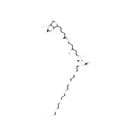 CCOCCOCCOCCOCCOCCOP(=S)(NCCC(CCNC(=O)CCCC1SCC2NC(=O)NC21)OC)OC(C)(C)C